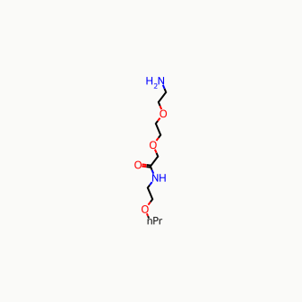 CCCOCCNC(=O)COCCOCCN